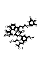 COCCn1c(C(=O)O)cc2cc(COC)cc(N3CC(C)n4c(c(CCCOc5cc(C)c(Cl)c(C)c5)c5ccc(Cl)c(-c6c(C)nn(C)c6C)c54)C3=O)c21